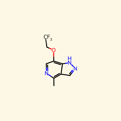 Cc1ncc(OCC(F)(F)F)c2[nH]ncc12